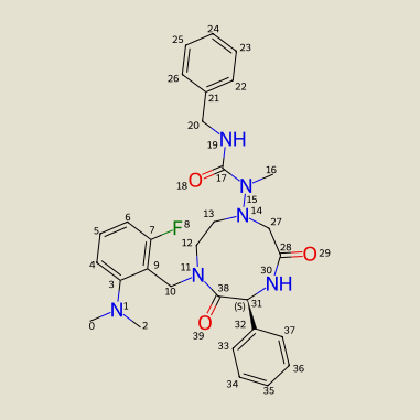 CN(C)c1cccc(F)c1CN1CCN(N(C)C(=O)NCc2ccccc2)CC(=O)N[C@@H](c2ccccc2)C1=O